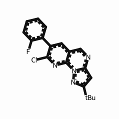 CC(C)(C)c1cc2ncc3cc(-c4ccccc4F)c(Cl)nc3n2n1